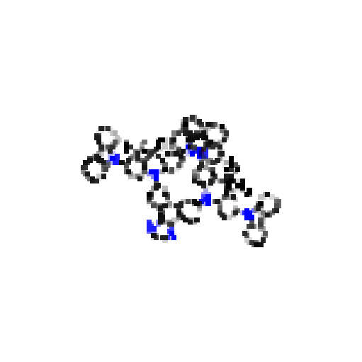 CC1(C)c2cc(-n3c4ccccc4c4ccccc43)ccc2N(c2ccc3c(c2)c2cc(N4c5ccc(-n6c7ccccc7c7ccccc76)cc5C(C)(C)c5cc(-n6c7ccccc7c7ccccc76)ccc54)ccc2c2nccnc32)c2ccc(-n3c4ccccc4c4ccccc43)cc21